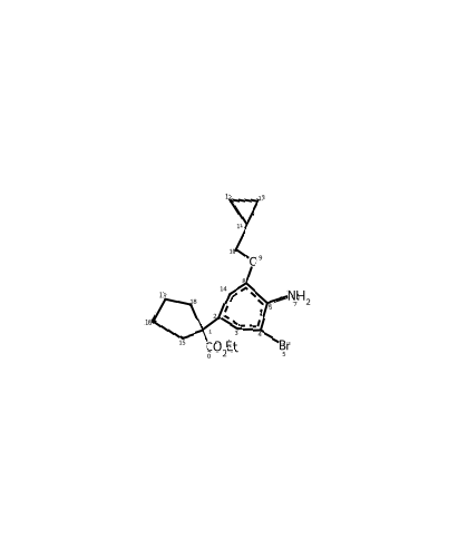 CCOC(=O)C1(c2cc(Br)c(N)c(OCC3CC3)c2)CCCC1